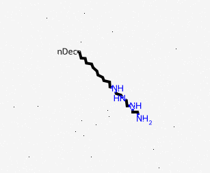 CCCCCCCCCCCCCCCCCCCCCCNCCNCCNCCN